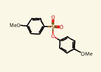 COc1ccc(OS(=O)(=O)c2ccc(OC)cc2)cc1